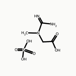 CN(CC(=O)O)C(=N)N.O=S(=O)(O)O